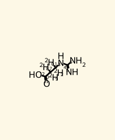 [2H]C([2H])(NC(=N)N)C([2H])([2H])C(=O)O